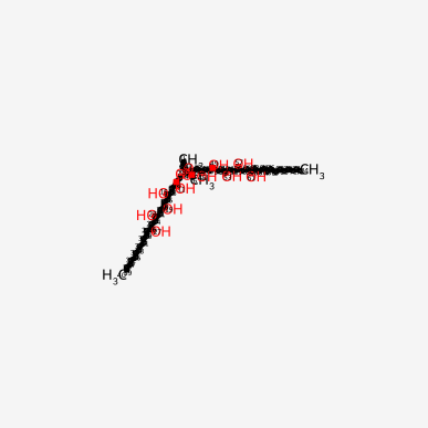 C[CH]C[Si](OCC)(OCCC(O)CCC(O)CCC(O)CCC(O)CCC(O)CCCCCCCCCCCCC)OCCC(O)CCC(O)CCC(O)CCC(O)CCC(O)CCCCCCCCCCCCC